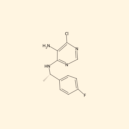 C[C@H](Nc1ncnc(Cl)c1N)c1ccc(F)cc1